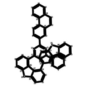 c1ccc(C2N=C(c3ccc4c(ccc5ccccc54)c3)N=C(c3cccc4oc5cccc(-c6ccc7sc8ccccc8c7c6)c5c34)N2)cc1